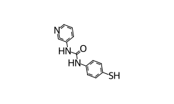 O=C(Nc1ccc(S)cc1)Nc1cccnc1